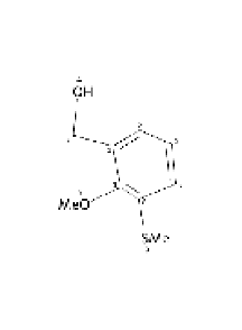 COc1c(CO)cccc1SC